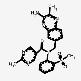 Cc1ncc(C(=O)N(Cc2ccc3nc(C)c(N)nc3c2)c2ccccc2S(C)(=O)=O)cn1